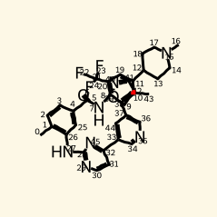 Cc1ccc(C(=O)Nc2ccc(C3CCN(C)CC3)cc2C(F)(F)F)cc1Nc1nccc(-c2cncc(-c3oncc3C)c2)n1